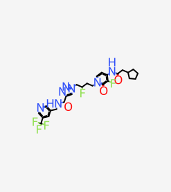 O=C(CC1CCCC1)Nc1ccn(CCC(F)Cn2cc(C(=O)NCc3cncc(C(F)(F)F)c3)nn2)c(=O)c1F